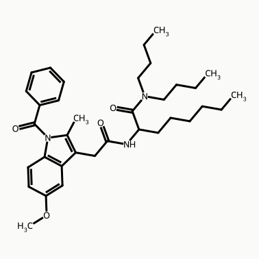 CCCCCCC(NC(=O)Cc1c(C)n(C(=O)c2ccccc2)c2ccc(OC)cc12)C(=O)N(CCCC)CCCC